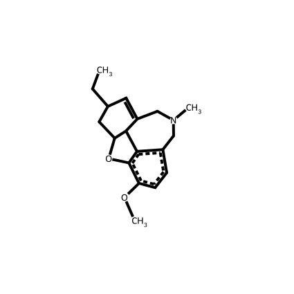 CCC1C=C2CN(C)Cc3ccc(OC)c4c3C2C(C1)O4